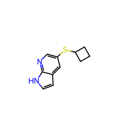 c1cc2cc(SC3CCC3)cnc2[nH]1